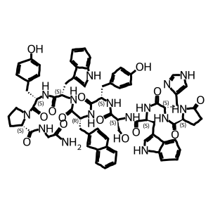 NC(=O)CNC(=O)[C@@H]1CCCN1C(=O)[C@H](Cc1ccc(O)cc1)NC(=O)[C@H](Cc1c[nH]c2ccccc12)NC(=O)[C@@H](Cc1ccc2ccccc2c1)NC(=O)[C@H](Cc1ccc(O)cc1)NC(=O)[C@H](CO)NC(=O)[C@H](Cc1c[nH]c2ccccc12)NC(=O)[C@H](Cc1c[nH]cn1)NC(=O)[C@@H]1CCC(=O)N1